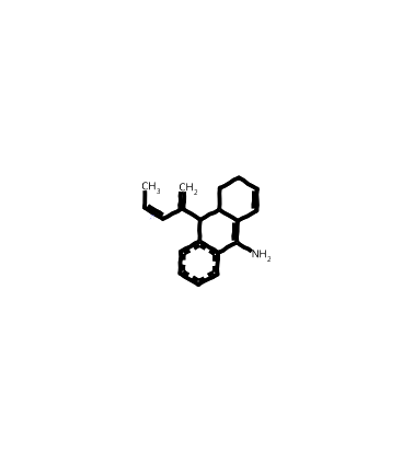 C=C(/C=C\C)C1c2ccccc2C(N)=C2C=CCCC21